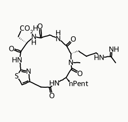 CCCCC[C@H]1NC(=O)Cc2csc(n2)NC(=O)[C@H](CC(=O)O)NC(=O)CNC(=O)[C@H](CCCNC(C)=N)N(C)C1=O